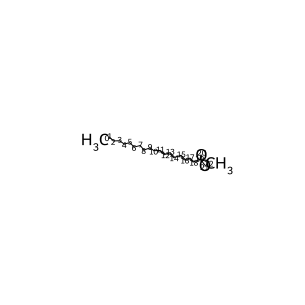 CCCCCCCCCCCC=CC=CC=CC=CC(=O)OC